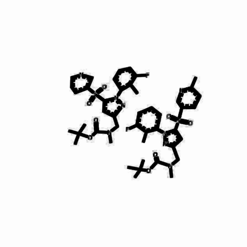 Cc1c(F)cccc1-n1nc(CN(C)C(=O)OC(C)(C)C)cc1S(=O)(=O)c1cccnc1.Cc1ccc(S(=O)(=O)c2cc(CN(C)C(=O)OC(C)(C)C)nn2-c2cccc(F)c2C)cn1